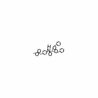 CCOC(=O)Cc1ccc(NC(=O)C(COCc2ccccc2)COCc2ccccc2)cc1